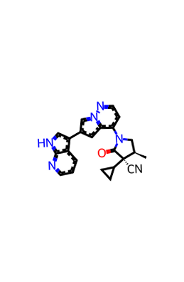 C[C@@H]1CN(c2ccnn3cc(-c4c[nH]c5ncccc45)cc23)C(=O)[C@]1(C#N)C1CC1